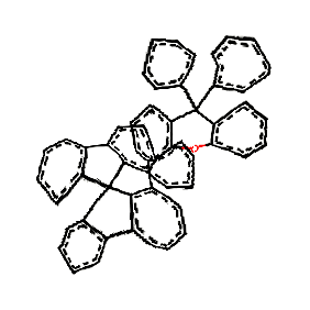 c1ccc(C2(c3ccccc3)c3ccccc3Oc3c(-c4cccc5c4C4(c6ccccc6-5)c5ccccc5-c5ccc6ccccc6c54)cccc32)cc1